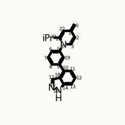 C=C1C=CN(c2cccc(-c3cccc4[nH]ncc34)c2)C(C(C)C)=C1